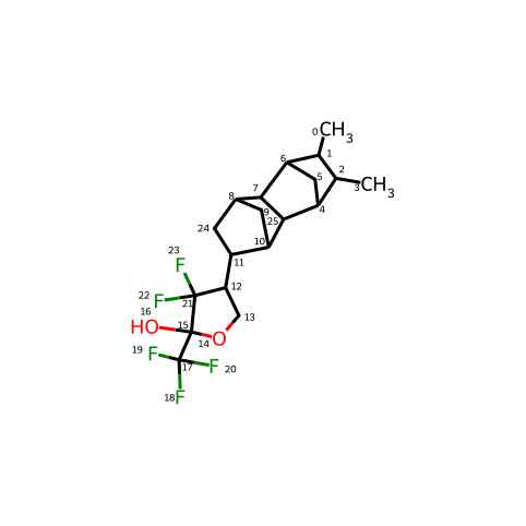 CC1C(C)C2CC1C1C3CC(C(C4COC(O)(C(F)(F)F)C4(F)F)C3)C21